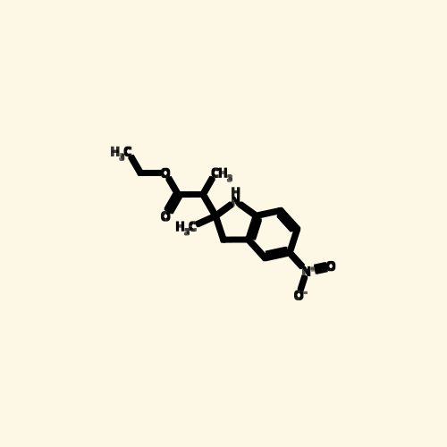 CCOC(=O)C(C)C1(C)Cc2cc([N+](=O)[O-])ccc2N1